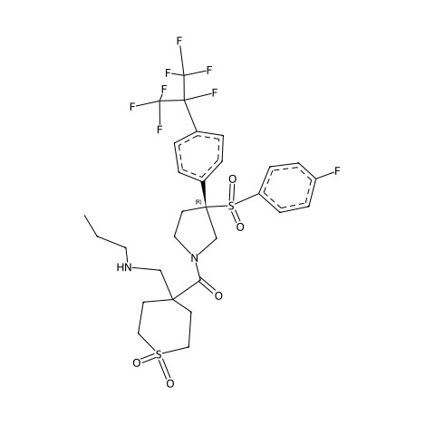 CCCNCC1(C(=O)N2CC[C@](c3ccc(C(F)(C(F)(F)F)C(F)(F)F)cc3)(S(=O)(=O)c3ccc(F)cc3)C2)CCS(=O)(=O)CC1